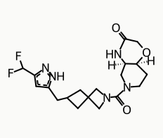 O=C1CO[C@H]2CCN(C(=O)N3CC4(CC(Cc5cc(C(F)F)n[nH]5)C4)C3)C[C@H]2N1